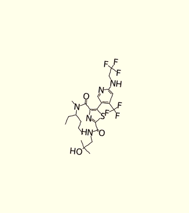 CCCC(CC)N(C)C(=O)c1nc(C(=O)NCC(C)(C)O)sc1-c1cnc(NCC(F)(F)F)cc1C(F)(F)F